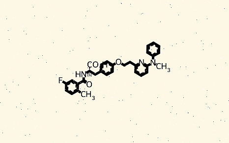 Cc1ccc(F)cc1C(=O)N[C@@H](Cc1ccc(OCCc2cccc(N(C)c3ccccc3)n2)cc1)C(=O)O